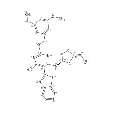 COc1cc(COc2nc(C)c(-c3nc4ccccc4s3)c(N[C@H]3CC[C@@H](CO)C3)n2)cc(OC)c1